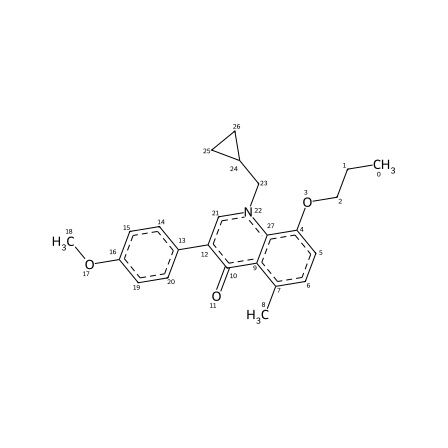 CCCOc1ccc(C)c2c(=O)c(-c3ccc(OC)cc3)cn(CC3CC3)c12